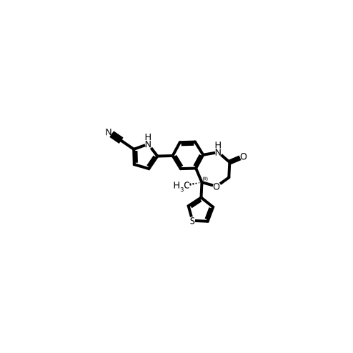 C[C@@]1(c2ccsc2)OCC(=O)Nc2ccc(-c3ccc(C#N)[nH]3)cc21